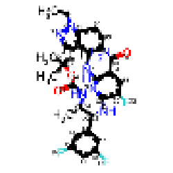 CCn1ncc2c(Nc3nc(N[C@H](c4cc(F)cc(F)c4)[C@H](C)NC(=O)OC(C)(C)C)c(F)cc3C(N)=O)cccc21